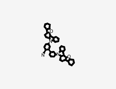 N#Cc1ccc(-n2c3ccccc3c3c4oc5ccccc5c4ccc32)cc1-c1cccc(-n2c3ccccc3c3c4oc5ccccc5c4ccc32)c1